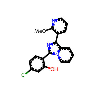 COc1ncccc1-c1nc(-c2ccc(Cl)cc2O)n2ccccc12